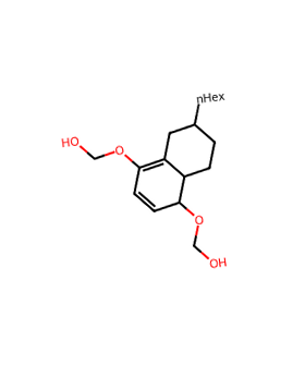 CCCCCCC1CCC2C(=C(OCO)C=CC2OCO)C1